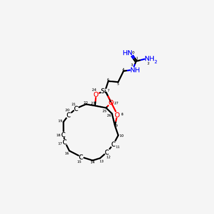 N=C(N)NCCC[Si]12OC3CCCCCCCCCCCCCC(O1)C(C3)O2